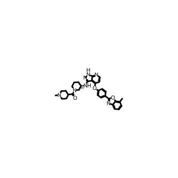 Cc1cccc2nc(-c3ccc(Oc4ccnc5[nH]nc(N[C@@H]6CCCN(C(=O)C7CCN(C)CC7)C6)c45)cc3)oc12